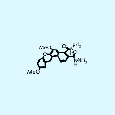 COc1ccc2c(c1)Cc1c(c(OC)cc3c(C(=O)NN)c(C(=O)NN)ccc13)O2